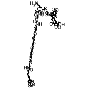 CC[C@@]1(O)C(=O)OCc2c1cc1n(c2=O)Cc2c-1nc1cc3c(cc1c2CNC(=O)CNC(=O)[C@H](CCCCN)NC(=O)[C@@H](NC(=O)COCC(=O)NCCOCCOCCOCCOCCOCCOCCOCCOCCNC(=O)CCCC#Cc1cnc(S(C)(=O)=O)nc1)C(C)C)OCO3